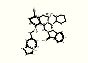 O=C(O)C1CCCCC1NN1CCc2c(Br)ccc(OCc3ccn4ccnc4c3)c2C1CN1Cc2ccccc2C1=O